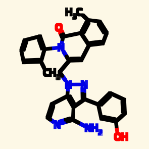 Cc1ccccc1-n1c(Cn2nc(-c3cccc(O)c3)c3c(N)nccc32)cc2cccc(C)c2c1=O